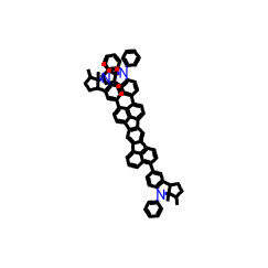 CC1CCC2c3cc(-c4ccc5c6cc7c(cc6c6cccc4c65)c4ccc(-c5ccc6c(c5)C5CCC(C)C5(C)N6c5ccccc5)c5c(-c6ccc8c(c6)C6CCC(C)C6(C)N8c6ccccc6)ccc7c54)ccc3N(c3ccccc3)C12C